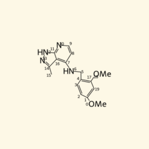 COc1ccc(CNc2ccnc3[nH]nc(C)c23)c(OC)c1